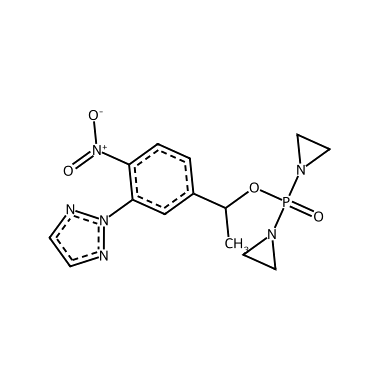 CC(OP(=O)(N1CC1)N1CC1)c1ccc([N+](=O)[O-])c(-n2nccn2)c1